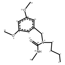 CCCCN(Cc1cc(OC)cc(OC)c1)C(=O)NC